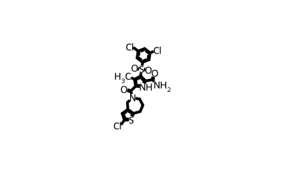 Cc1c(C(=O)N2CCCc3sc(Cl)cc3C2)[nH]c(C(N)=O)c1S(=O)(=O)c1cc(Cl)cc(Cl)c1